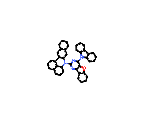 c1ccc2cc3c(cc2c1)-c1cccc2cccc(c12)N3c1nc(-n2c3ccccc3c3ccccc32)c2oc3ccccc3c2n1